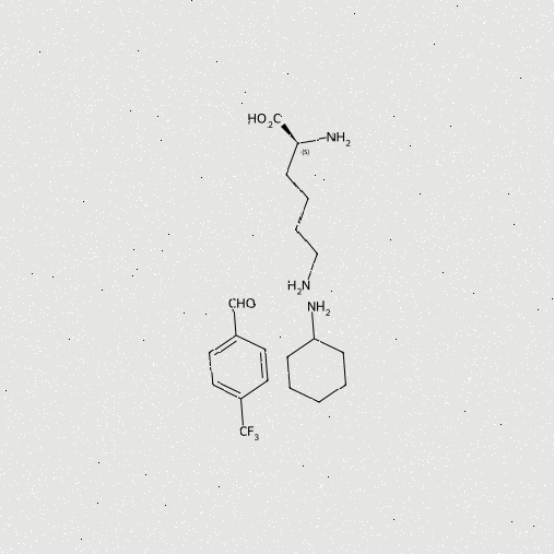 NC1CCCCC1.NCCCC[C@H](N)C(=O)O.O=Cc1ccc(C(F)(F)F)cc1